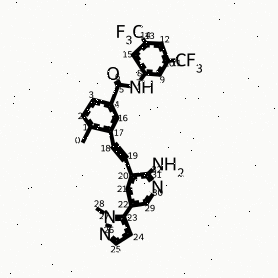 Cc1ccc(C(=O)Nc2cc(C(F)(F)F)cc(C(F)(F)F)c2)cc1C#Cc1cc(-c2ccnn2C)cnc1N